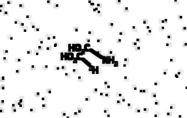 NC(=O)O.[2H]C(=O)O